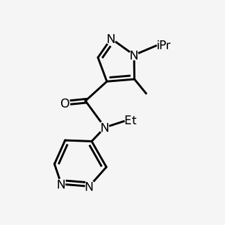 CCN(C(=O)c1cnn(C(C)C)c1C)c1ccnnc1